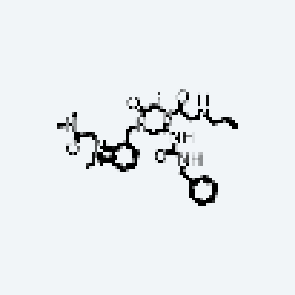 C=CCNCC(=O)N1[C@@H](NC(=O)NCc2ccccc2)CN(Cc2cccc3c2n(CC(=O)N(C)C)n3C)C(=O)[C@@H]1C